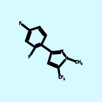 Cn1nc(-c2ccc(F)cc2F)cc1C(F)(F)F